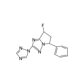 FC1CC(c2ccccc2)n2nc(-n3cncn3)nc21